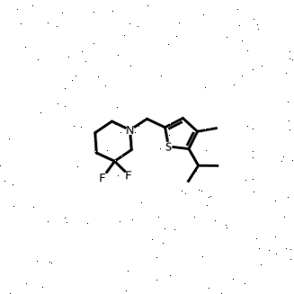 Cc1cc(CN2CCCC(F)(F)C2)sc1C(C)C